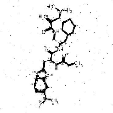 C=C(CN(C)C)C(=O)NC[C@H](CC1CCCCC1)NC(=O)[C@H](Cc1nc2ccc(C(C)C)cc2s1)NC(=O)CC